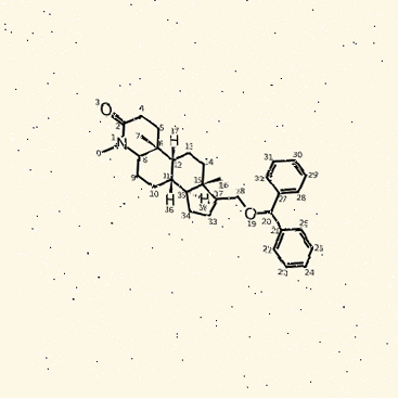 CN1C(=O)CC[C@@]2(C)C1CC[C@@H]1[C@H]2CC[C@]2(C)C(COC(c3ccccc3)c3ccccc3)CC[C@@H]12